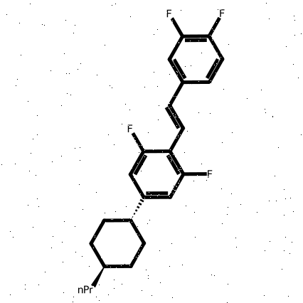 CCC[C@H]1CC[C@H](c2cc(F)c(C=Cc3ccc(F)c(F)c3)c(F)c2)CC1